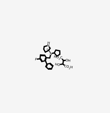 Fc1ccc(CN(C2CCCC2)[C@H]2CCCNC2)c(-c2ccccc2)c1.O=C(O)C(O)C(O)C(=O)O